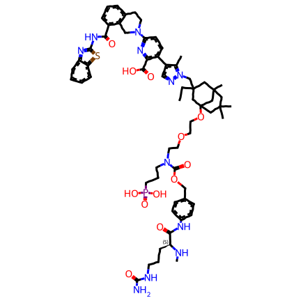 CCC1(Cn2ncc(-c3ccc(N4CCc5cccc(C(=O)Nc6nc7ccccc7s6)c5C4)nc3C(=O)O)c2C)CC2(C)CC(C)(C)CC(OCCOCCN(CCCP(=O)(O)O)C(=O)OCc3ccc(NC(=O)[C@H](CCCNC(N)=O)NC)cc3)(C2)C1